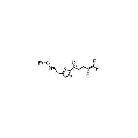 CC(C)ON=CCc1cnc([S@@+]([O-])CCC(F)=C(F)F)s1